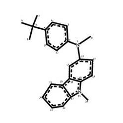 CN(c1ccc(C(C)(C)C)cc1)c1ccc2c(c1)c1ccccc1n2C